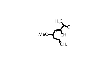 C=CCC(C=C(C)C(C)O)OC